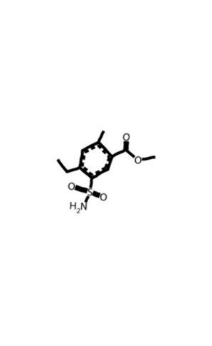 CCc1cc(C)c(C(=O)OC)cc1S(N)(=O)=O